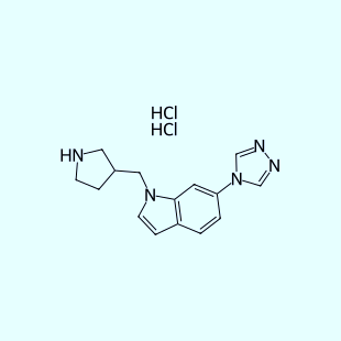 Cl.Cl.c1cc2ccn(CC3CCNC3)c2cc1-n1cnnc1